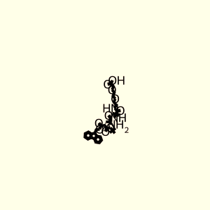 CC(C)(C)OC(=O)[C@@H](CC(N)C(=O)NC(C)(C)C(=O)NCCOCCOCC(=O)O)C(=O)OCC1c2ccccc2-c2ccccc21